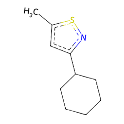 Cc1cc(C2CCCCC2)ns1